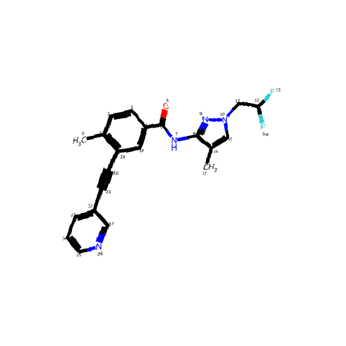 Cc1ccc(C(=O)Nc2nn(CC(F)F)cc2C)cc1C#Cc1cccnc1